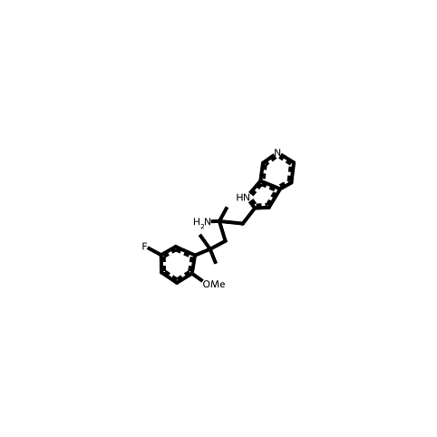 COc1ccc(F)cc1C(C)(C)CC(C)(N)Cc1cc2ccncc2[nH]1